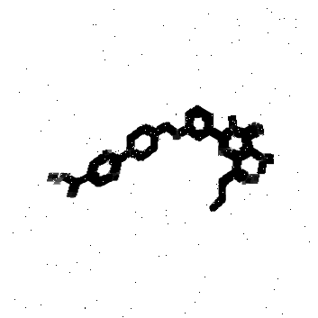 CCCC(=N)c1nc(-c2cccc(OCC3CCN(c4ncc(C(N)=O)cn4)CC3)c2)[nH]c(=O)c1NC